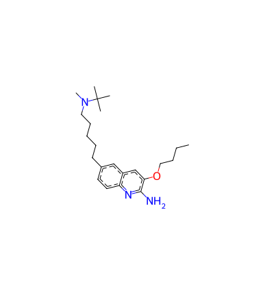 CCCCOc1cc2cc(CCCCCN(C)C(C)(C)C)ccc2nc1N